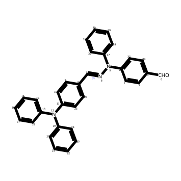 O=Cc1ccc(N(/N=C/c2ccc(N(c3ccccc3)c3ccccc3)cc2)c2ccccc2)cc1